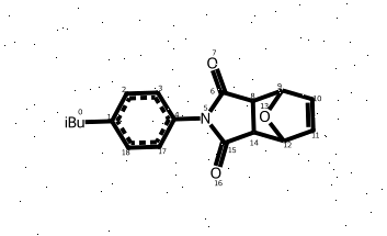 CCC(C)c1ccc(N2C(=O)C3C4C=CC(O4)C3C2=O)cc1